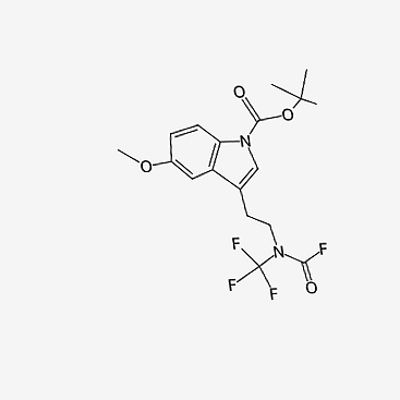 COc1ccc2c(c1)c(CCN(C(=O)F)C(F)(F)F)cn2C(=O)OC(C)(C)C